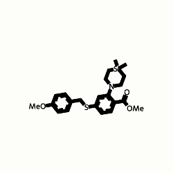 COC(=O)c1ccc(SCc2ccc(OC)cc2)cc1N1CC[Si](C)(C)CC1